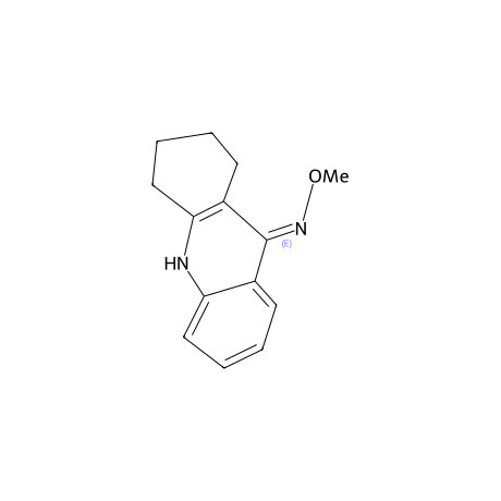 CO/N=c1\c2c([nH]c3ccccc13)CCCC2